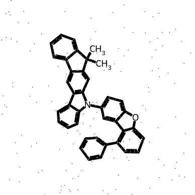 CC1(C)c2ccccc2-c2cc3c4ccccc4n(-c4ccc5oc6cccc(-c7ccccc7)c6c5c4)c3cc21